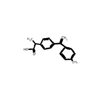 C=C(c1ccc(C)cc1)c1ccc(C(C)C(=O)O)cc1